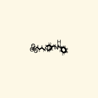 O=S(=O)([O-])CCCC[n+]1ccc(/C=N/Nc2ccccc2)cc1